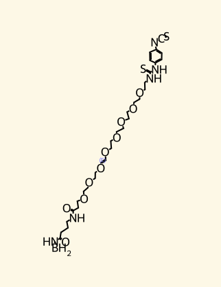 BNC(=O)CCCNC(=O)CCOCCOCCO/C=C/OCCOCCOCCOCCOCCNC(=S)Nc1ccc(N=C=S)cc1